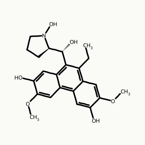 CCc1c([C@@H](O)[C@H]2CCCN2O)c2cc(O)c(OC)cc2c2cc(O)c(OC)cc12